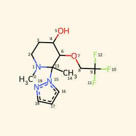 CN1CCC(O)C(OCC(F)(F)F)C1(C)n1cccn1